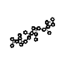 c1ccc(-c2ccc(-n3c4cc(-c5ccc6c(c5)c5ccc(-c7cccc8c9ccccc9n(-c9ccccc9)c78)cc5n6-c5ccccc5)ccc4c4cccc(-c5ccc6c7ccc(-c8ccc9c%10cccc(-c%11ccc%12c%13ccccc%13n(-c%13ccccc%13)c%12c%11)c%10n(-c%10ccc%11ccccc%11c%10)c9c8)cc7n(-c7ccccc7)c6c5)c43)cc2)cc1